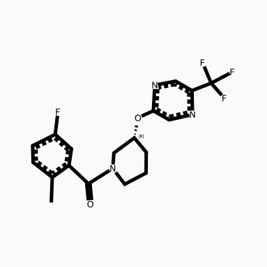 Cc1ccc(F)cc1C(=O)N1CCC[C@@H](Oc2cnc(C(F)(F)F)cn2)C1